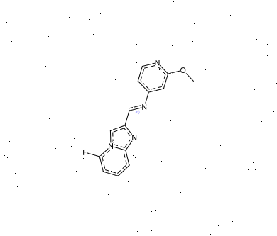 COc1cc(/N=C/c2cn3c(F)cccc3n2)ccn1